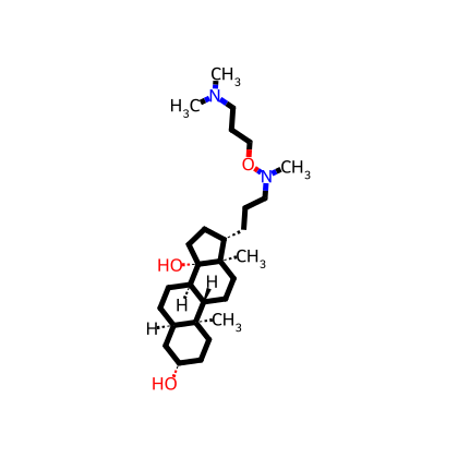 CN(C)CCCON(C)CCC[C@H]1CC[C@]2(O)[C@@H]3CC[C@@H]4C[C@@H](O)CC[C@]4(C)[C@H]3CC[C@]12C